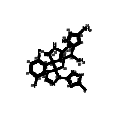 Cc1nnc(N2N=CSC2(CCC(N)c2cc(N)n[nH]2)C2(c3cc(F)ccc3F)C=C(N)NN2)s1